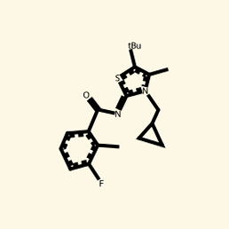 Cc1c(F)cccc1C(=O)/N=c1\sc(C(C)(C)C)c(C)n1CC1CC1